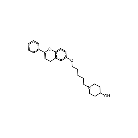 OC1CCN(CCCCCOc2ccc3c(c2)CC=C(c2ccccc2)O3)CC1